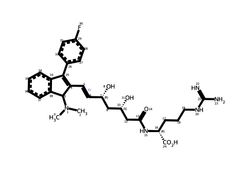 CN(C)C1C(/C=C/[C@H](O)C[C@H](O)CC(=O)N[C@H](CCCNC(=N)N)C(=O)O)=C(c2ccc(F)cc2)c2ccccc21